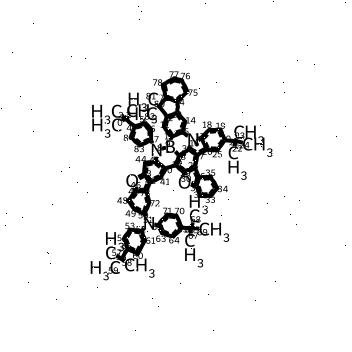 CC(C)(C)c1ccc(N2B3c4cc5c(cc4-n4c6ccc(C(C)(C)C)cc6c6c7c(oc8ccccc87)c(c3c64)-c3cc4c(cc32)oc2ccc(N(c3ccc(C(C)(C)C)cc3)c3ccc(C(C)(C)C)cc3)cc24)-c2ccccc2C5(C)C)cc1